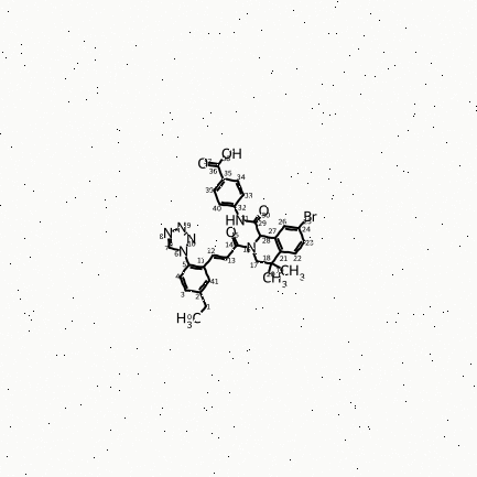 CCc1ccc(-n2cnnn2)c(/C=C/C(=O)N2CC(C)(C)c3ccc(Br)cc3C2C(=O)Nc2ccc(C(=O)O)cc2)c1